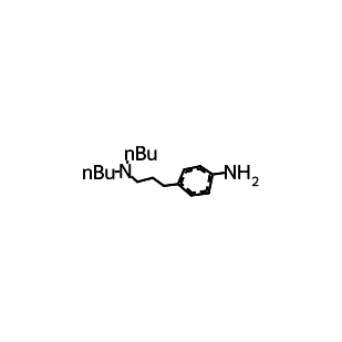 CCCCN(CCCC)CCCc1ccc(N)cc1